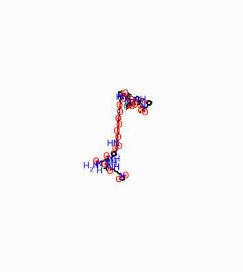 CC[C@H](C)[C@@H]([C@@H](CC(=O)N1CCC[C@H]1[C@H](OC)C(C)C(=S)N[C@@H](Cc1ccccc1)C(=O)OC)OC)N(C)C(=O)[C@@H](NC(=O)[C@H](C(C)C)N(C)C(=O)CCOCCOCCOCCOCCOCCOCCNC(=O)OCc1ccc(NC(=O)[C@H](CCCNC(N)=O)NC(=O)[C@@H](NC(=O)CCCCCN2C(=O)C=CC2=O)C(C)C)cc1)C(C)C